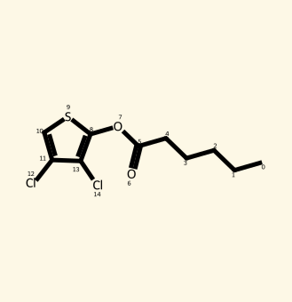 CCCCCC(=O)Oc1scc(Cl)c1Cl